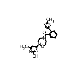 Cc1cc(N2CCN(C(=O)c3ccccc3-c3csc(C)n3)CCO2)nc(C)n1